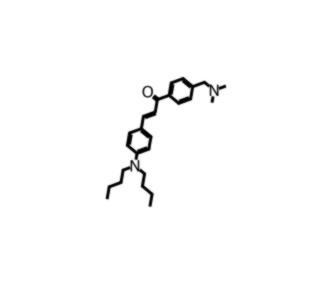 CCCCN(CCCC)c1ccc(C=CC(=O)c2ccc(CN(C)C)cc2)cc1